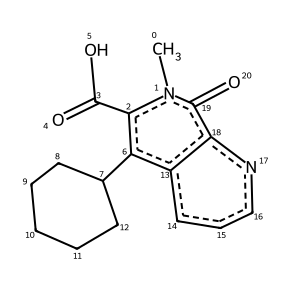 Cn1c(C(=O)O)c(C2CCCCC2)c2cccnc2c1=O